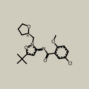 COc1ccc(Cl)cc1C(=O)N=c1cc(C(C)(C)C)on1C[C@H]1CCCO1